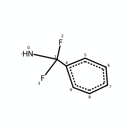 [NH]C(F)(F)c1ccccc1